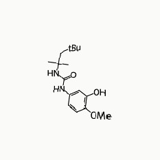 COc1ccc(NC(=O)NC(C)(C)CC(C)(C)C)cc1O